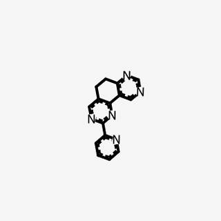 c1ccc(-c2ncc3c(n2)-c2cncnc2CC3)nc1